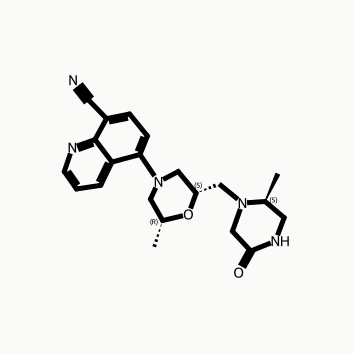 C[C@@H]1CN(c2ccc(C#N)c3ncccc23)C[C@H](CN2CC(=O)NC[C@@H]2C)O1